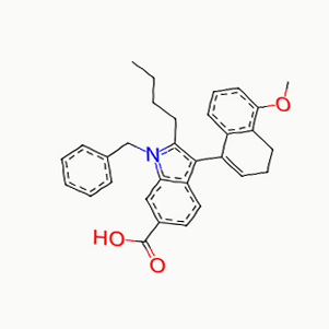 CCCCc1c(C2=CCCc3c(OC)cccc32)c2ccc(C(=O)O)cc2n1Cc1ccccc1